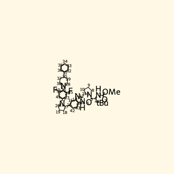 COC(=O)N[C@H](C(=O)N1CCC[C@H]1c1nc2cc([C@H]3CCCN3c3cc(F)c(N4CCC(c5ccccc5)CC4)c(F)c3)ccc2[nH]1)C(C)(C)C